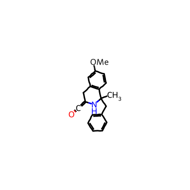 COc1ccc2c(c1)CC(=C=O)NC2(C)Cc1ccccc1